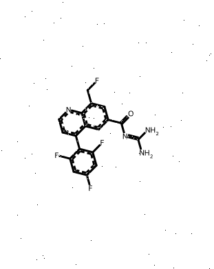 NC(N)=NC(=O)c1cc(CF)c2nccc(-c3c(F)cc(F)cc3F)c2c1